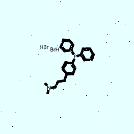 Br.Br.CN(C)CCCc1ccc(P(c2ccccc2)c2ccccc2)cc1